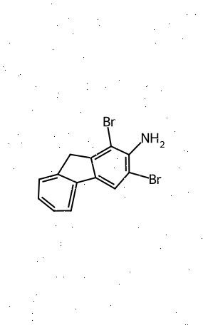 Nc1c(Br)cc2c(c1Br)Cc1ccccc1-2